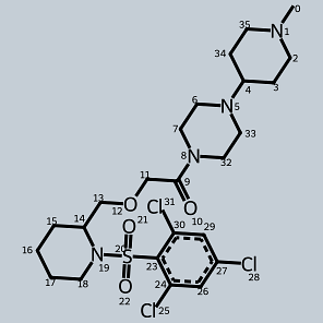 CN1CCC(N2CCN(C(=O)COCC3CCCCN3S(=O)(=O)c3c(Cl)cc(Cl)cc3Cl)CC2)CC1